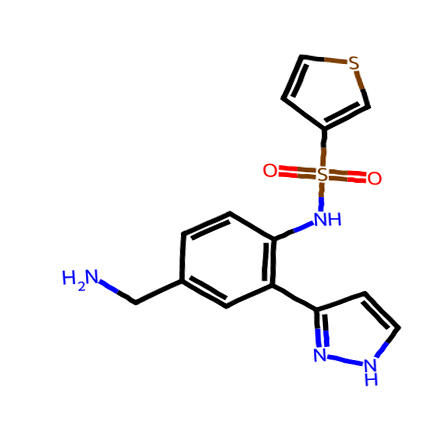 NCc1ccc(NS(=O)(=O)c2ccsc2)c(-c2cc[nH]n2)c1